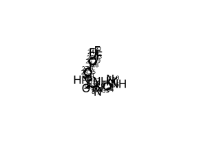 Cc1nc2cc(-n3ncc(C(=O)c4cc5cc(-c6ccc(C(F)(F)F)cc6)ccc5[nH]4)c3N)ccc2[nH]1